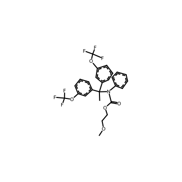 COCCOC(=O)N(c1ccccc1)C(C)(c1cccc(OC(F)(F)F)c1)c1cccc(OC(F)(F)F)c1